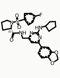 O=C(NCc1cc(-c2ccc3c(c2)OCO3)nc(NC2CCCC2)n1)[C@@H]1CCCN1S(=O)(=O)c1ccc(F)cc1